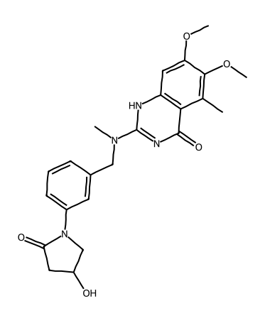 COc1cc2[nH]c(N(C)Cc3cccc(N4CC(O)CC4=O)c3)nc(=O)c2c(C)c1OC